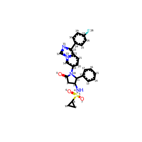 O=C1CC(NS(=O)(=O)C2CC2)C(c2ccccc2)N1c1ccc2c(-c3ccc(F)cc3)ncn2c1